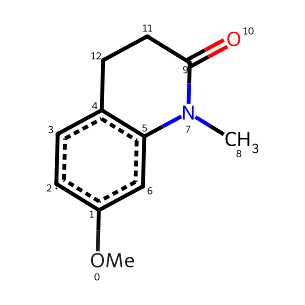 COc1[c]cc2c(c1)N(C)C(=O)CC2